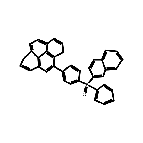 O=P(c1ccccc1)(c1ccc(-c2cc3c4c(ccc5c4c2CC=C5)CC=C3)cc1)c1ccc2ccccc2c1